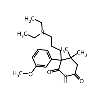 CCN(CC)CCCC1(c2cccc(OC)c2)C(=O)NC(=O)CC1(C)C